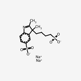 CC1=Nc2ccc(S(=O)(=O)[O-])cc2C1(C)CCCCS(=O)(=O)[O-].[Na+].[Na+]